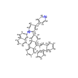 c1ccc2c(-c3c4ccccc4c(-c4cc5ccccc5c5ccccc45)c4ccc(-c5cc(-c6ccncc6)ccn5)cc34)cccc2c1